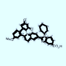 COc1ccc(-c2cc(Cl)cc(Cl)c2)c(-c2ccc3cc(-c4nc5cc(C(=O)O)ccc5n4C4CCCCC4)ccc3n2)c1